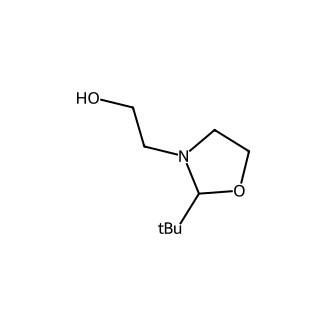 CC(C)(C)C1OCCN1CCO